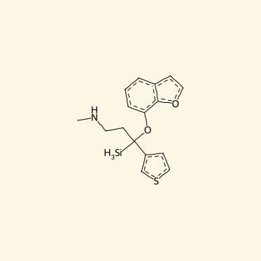 CNCCC([SiH3])(Oc1cccc2ccoc12)c1ccsc1